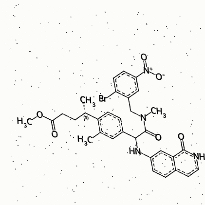 COC(=O)CC[C@H](C)c1ccc(C(Nc2ccc3cc[nH]c(=O)c3c2)C(=O)N(C)Cc2cc([N+](=O)[O-])ccc2Br)cc1C